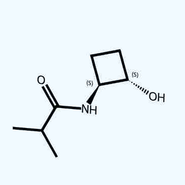 CC(C)C(=O)N[C@H]1CC[C@@H]1O